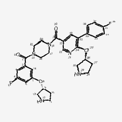 O=C(c1cc(F)cc(O[C@@H]2CCNC2)c1)N1CCN(C(=O)c2cnc(O[C@H]3CCNC3)c(-c3ccc(F)cc3)c2)CC1